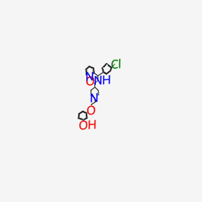 O=C(NC(c1ccc(Cl)cc1)c1ccccn1)C1CCN(CCOc2cccc(O)c2)CC1